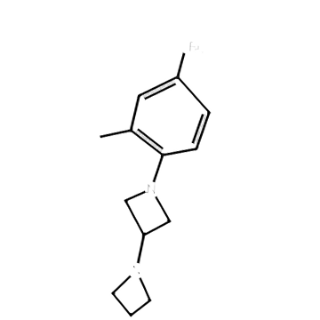 Cc1cc(C(C)(C)C)ccc1N1CC(N2CCC2)C1